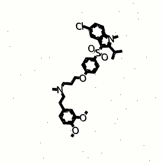 COc1ccc(CCN(C)CCCOc2ccc(S(=O)(=O)c3c(C(C)C)n(C)c4ccc(Cl)cc34)cc2)cc1OC